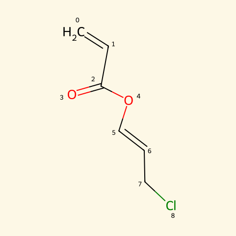 C=CC(=O)OC=CCCl